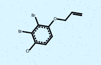 C=CCOc1ccc(Cl)c(Br)c1Br